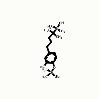 CC(C)(CCCc1ccc(O[Si](C)(C)C(C)(C)C)c(C#N)c1)[Si](C)(C)O